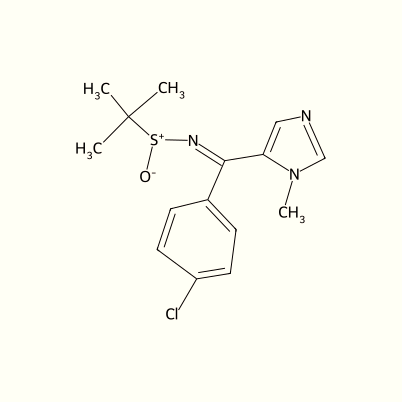 Cn1cncc1/C(=N/[S+]([O-])C(C)(C)C)c1ccc(Cl)cc1